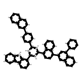 c1ccc(-c2cc(-c3ccc(-c4nc(-c5ccc(-c6ccc7ccccc7c6)cc5)nc(-c5cccc6c5oc5ccccc56)n4)c4ccccc34)cc3ccccc23)cc1